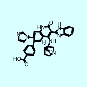 O=C(O)c1ccc(-c2cc3c(N[C@H]4CN5CCC4CC5)c(-c4nc5ccccc5[nH]4)c(=O)[nH]c3cc2-n2ccnc2)cc1